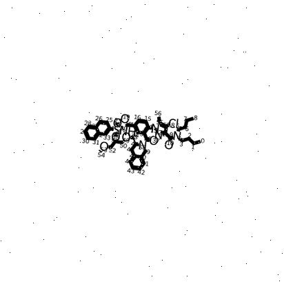 CCCCN(CCCC)C(=O)c1nn(-c2ccc(C(=O)NS(=O)(=O)c3ccc4ccccc4c3)cc2C(=O)N2Cc3ccccc3C[C@H]2COCCCOC)c(C)c1Cl